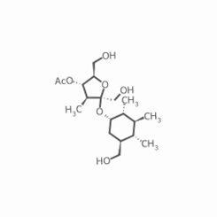 CC(=O)O[C@@H]1[C@@H](CO)O[C@@](CO)(O[C@H]2C[C@H](CO)[C@@H](C)[C@H](C)[C@H]2C)[C@H]1C